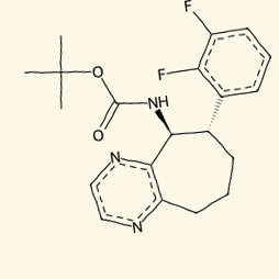 CC(C)(C)OC(=O)N[C@@H]1c2nccnc2CCC[C@H]1c1cccc(F)c1F